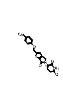 CC(C)(C)c1ccc(OCc2cc3c(s2)C(=O)N([C@H]2CCC(=O)NC2=O)C3)cc1